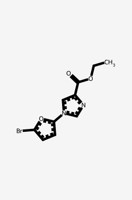 CCOC(=O)c1cn(-c2ccc(Br)o2)cn1